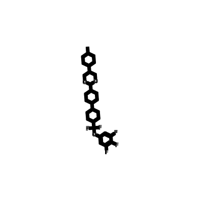 CC1CCC(C2COC(C3CCC(C4CCC(C(F)(F)Oc5cc(F)c(F)c(F)c5)CC4)CC3)OC2)CC1